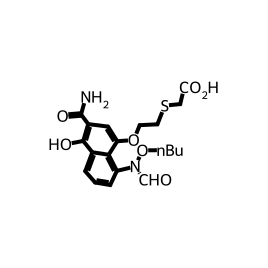 CCCCON(C=O)c1cccc2c(O)c(C(N)=O)cc(OCCSCC(=O)O)c12